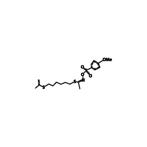 C=C(C)SCCCCCCS/C(C)=N\OS(=O)(=O)c1ccc(OC)cc1